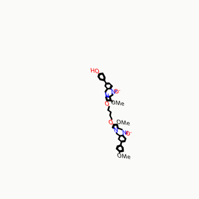 COc1ccc(C2=CC=C3C(C2)Cn2cc(OCCCCCOc4cn5c(c4OC)C=[N+]([O-])C4=CC=C(c6ccc(O)cc6)CC4C5)c(OC)c2C=[N+]3[O-])cc1